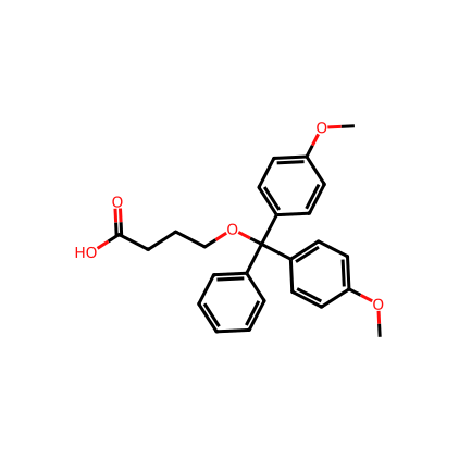 COc1ccc(C(OCCCC(=O)O)(c2ccccc2)c2ccc(OC)cc2)cc1